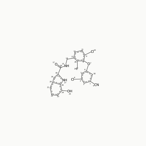 N#Cc1cc(Cl)cc(Oc2c(Cl)ccc(CNC(=O)c3cc4cccc(O)c4[nH]3)c2F)c1